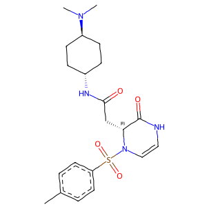 Cc1ccc(S(=O)(=O)N2C=CNC(=O)[C@H]2CC(=O)N[C@H]2CC[C@H](N(C)C)CC2)cc1